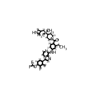 CCc1cc(Nc2nccn3c(-c4ccc(OC(F)F)c(F)c4F)cnc23)ccc1C(=O)N1CCC([N+](C)(C)CC2CNC2)CC1